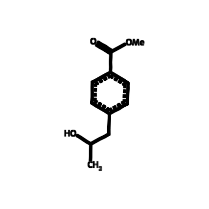 COC(=O)c1ccc(CC(C)O)cc1